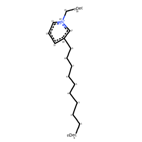 CCCCCCCCCCCCCCCCCCCc1ccc[n+](CCCCCCCCCCC)c1